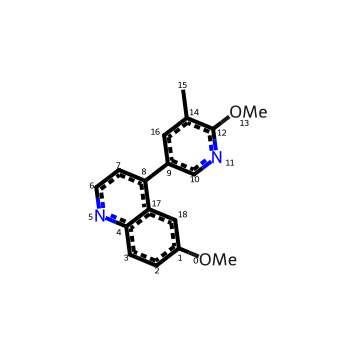 COc1ccc2nccc(-c3cnc(OC)c(C)c3)c2c1